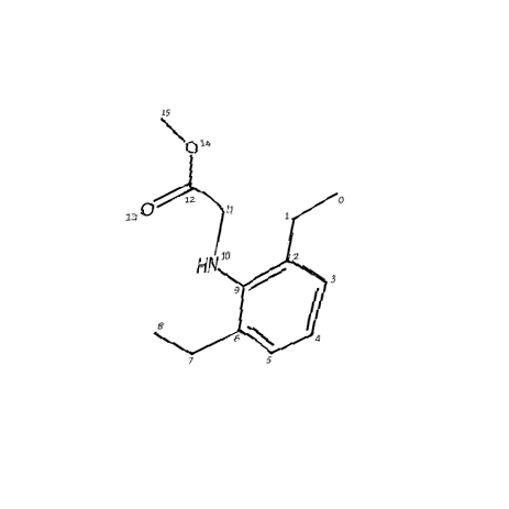 CCc1cccc(CC)c1NCC(=O)OC